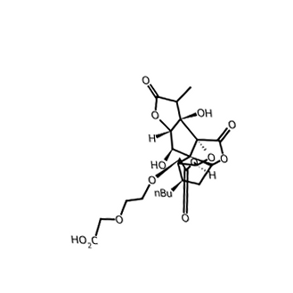 CCCC[C@@H]1CC2OC(=O)[C@@]34O[C@@H]5OC(=O)[C@H](OCCOCC(=O)O)C15[C@@]23[C@@H](O)[C@@H]1OC(=O)C(C)[C@@]14O